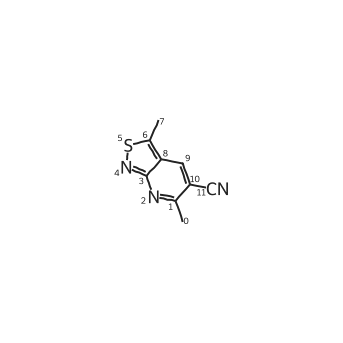 Cc1nc2nsc(C)c2cc1C#N